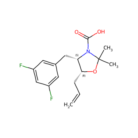 C=CC[C@H]1OC(C)(C)N(C(=O)O)[C@H]1Cc1cc(F)cc(F)c1